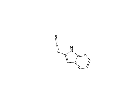 S=C=Nc1cc2ccccc2[nH]1